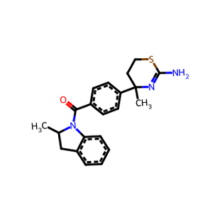 CC1Cc2ccccc2N1C(=O)c1ccc(C2(C)CCSC(N)=N2)cc1